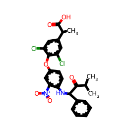 CC(C)C(=O)C(Nc1ccc(Oc2c(Cl)cc(C(C)C(=O)O)cc2Cl)cc1[N+](=O)[O-])c1ccccc1